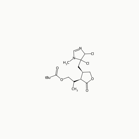 CC(COC(=O)C(C)(C)C)[C@@H]1C(=O)OC[C@@H]1CC1(Cl)C(Cl)N=CN1C